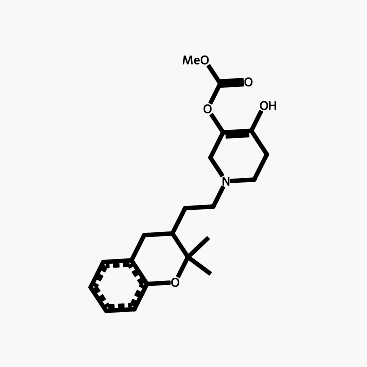 COC(=O)OC1=C(O)CCN(CCC2Cc3ccccc3OC2(C)C)C1